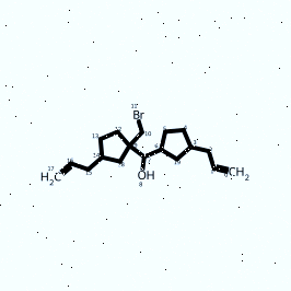 C=CCC1CCC(C(O)C2(CBr)CCC(CC=C)C2)C1